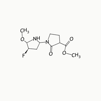 COC(=O)C1CCN(C2C[C@@H](F)C(OC)N2)C1=O